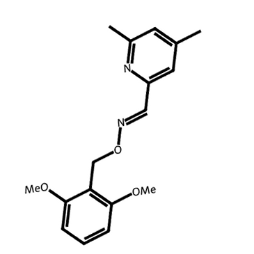 COc1cccc(OC)c1CON=Cc1cc(C)cc(C)n1